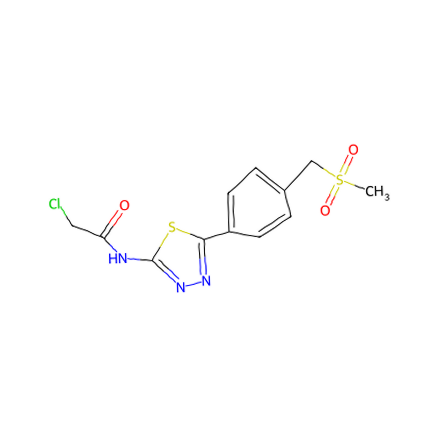 CS(=O)(=O)Cc1ccc(-c2nnc(NC(=O)CCl)s2)cc1